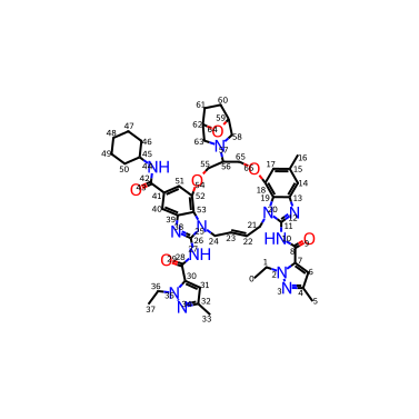 CCn1nc(C)cc1C(=O)Nc1nc2cc(C)cc3c2n1C/C=C/Cn1c(NC(=O)c2cc(C)nn2CC)nc2cc(C(=O)NC4CCCCC4)cc(c21)OCC(N1CC2CCC(C1)O2)CO3